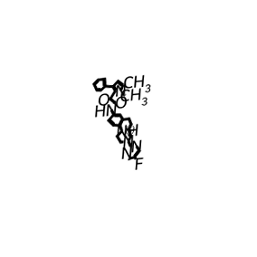 Cc1cc(-c2ccccc2)c(C(=O)C(=O)Nc2ccc3c(c2)CC[C@H]2CN(c4ncc(F)cn4)CCN32)n1C